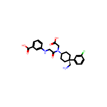 NC[C@]1(c2cccc(Cl)c2)CC[C@H](N(CC(=O)O)C(=O)CNc2cccc(C(=O)O)c2)CC1